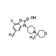 Cc1cc(F)c2oc(=O)n(C3CCN(C4(C)CCOCC4)CC3)c2c1.Cl